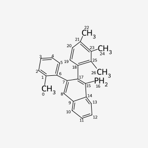 Cc1ccccc1-c1cc2ccccc2c(P)c1-c1ccc(C)c(C)c1C